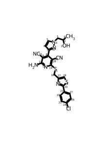 CC(O)Cn1ccc(-c2c(C#N)c(N)nc(SCc3csc(-c4ccc(Cl)cc4)n3)c2C#N)n1